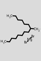 [Br][Mg][Br].[CH2]C(CCCCCC)CCCCCCCC